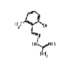 Cc1cccc(Br)c1C=NNC(=N)N